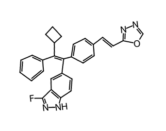 Fc1n[nH]c2ccc(C(=C(c3ccccc3)C3CCC3)c3ccc(C=Cc4nnco4)cc3)cc12